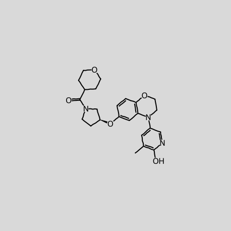 Cc1cc(N2CCOc3ccc(O[C@H]4CCN(C(=O)C5CCOCC5)C4)cc32)cnc1O